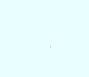 COc1cccc([C@H]2O[C@H](CCN3NN=C(SCC(=O)O)N3)c3cccn3-c3ccc(Cl)cc32)c1OC